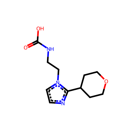 O=C(O)NCCn1ccnc1C1CCOCC1